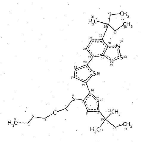 CCCCCCSc1cc(C(C)(C)CC)sc1-c1ccc(-c2ccc(C(C)(CC)CC)c3nsnc23)s1